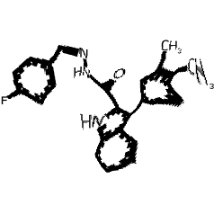 Cc1ccc(-c2c(C(=O)N/N=C\c3ccc(F)cc3)[nH]c3ccccc23)cc1C